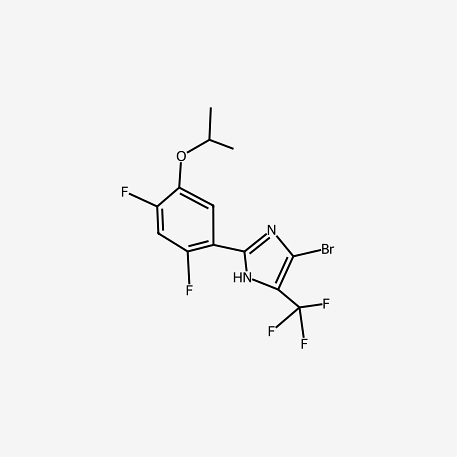 CC(C)Oc1cc(-c2nc(Br)c(C(F)(F)F)[nH]2)c(F)cc1F